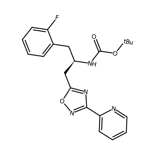 CC(C)(C)OC(=O)N[C@@H](Cc1nc(-c2ccccn2)no1)Cc1ccccc1F